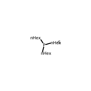 CCCCCCP(CCCCCC)CCCCCC.[S]